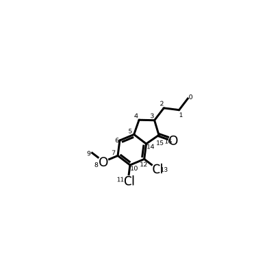 CCCC1Cc2cc(OC)c(Cl)c(Cl)c2C1=O